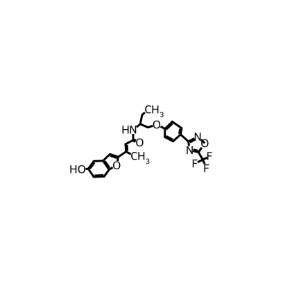 CCC(COc1ccc(-c2noc(C(F)(F)F)n2)cc1)NC(=O)C=C(C)c1cc2cc(O)ccc2o1